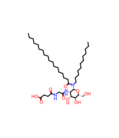 CCCCCCCCCCCCCCCCCC(=O)N(CCCCCCCCCCCC)[C@@H]1O[C@H](CO)[C@@H](O)[C@H](O)[C@@H]1NC(=O)CNC(=O)CCC(=O)O